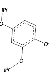 CC(C)Oc1ccc([O])c(OC(C)C)c1